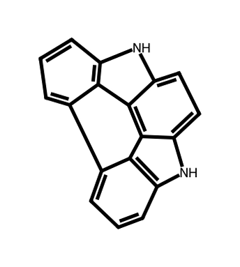 c1cc2[nH]c3ccc4[nH]c5cccc6c(c1)c2c3c4c56